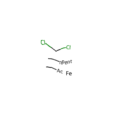 CC(C)=O.CCCCCC.ClCCl.[Fe]